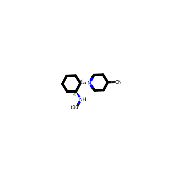 CC(C)(C)N[C@H]1CCCC[C@@H]1N1CCC(C#N)CC1